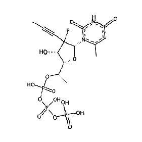 CC#CC1(F)[C@@H](O)[C@@H]([C@H](C)OP(=O)(O)OP(=O)(O)OP(=O)(O)O)O[C@H]1n1c(C)cc(=O)[nH]c1=O